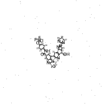 C[C@@H]1COCc2nc3cc(C(=O)Nc4ccc(OC(F)(F)Cl)cc4)cc(-c4cnc5c(c4)-c4nn(-c6ncccn6)cc4C5O)c3n21